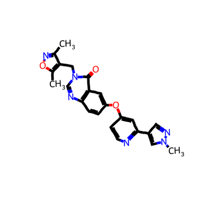 Cc1noc(C)c1Cn1cnc2ccc(Oc3ccnc(-c4cnn(C)c4)c3)cc2c1=O